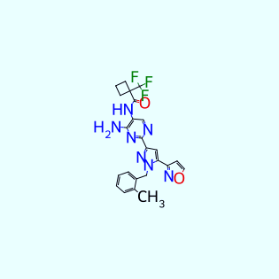 Cc1ccccc1Cn1nc(-c2ncc(NC(=O)C3(C(F)(F)F)CCC3)c(N)n2)cc1-c1ccon1